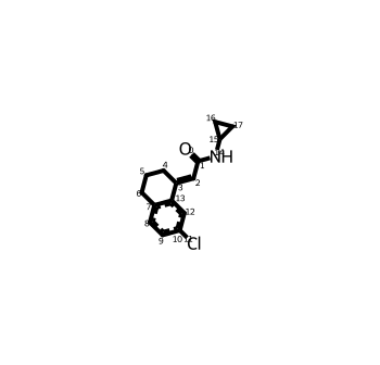 O=C(C=C1CCCc2ccc(Cl)cc21)NC1CC1